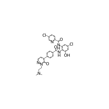 CN(C)CCn1nccc(-c2ccc(C(=O)Nc3c(O)cc(Cl)cc3NC(=O)c3ccc(Cl)cn3)cc2)c1=O